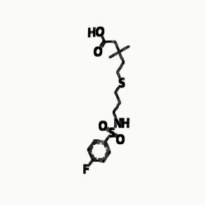 CC(C)(CCSCCCNS(=O)(=O)c1ccc(F)cc1)CC(=O)O